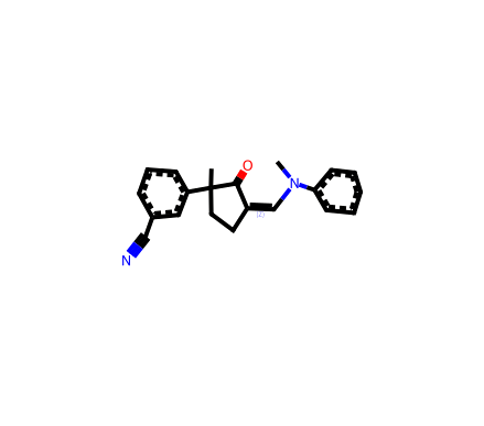 CN(/C=C1/CCC(C)(c2cccc(C#N)c2)C1=O)c1ccccc1